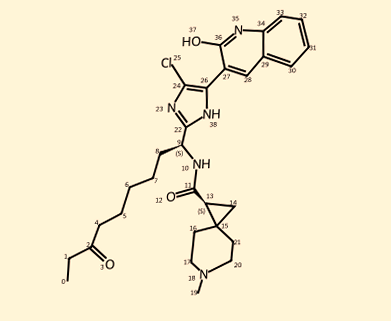 CCC(=O)CCCCC[C@H](NC(=O)[C@H]1CC12CCN(C)CC2)c1nc(Cl)c(-c2cc3ccccc3nc2O)[nH]1